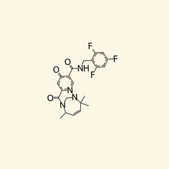 CC1C=CC(C)(C)N2CN1C(=O)c1cc(=O)c(C(=O)NCc3c(F)cc(F)cc3F)cn12